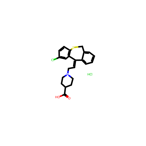 Cl.O=C(O)C1CCN(CC=C2c3ccccc3CSc3ccc(Cl)cc32)CC1